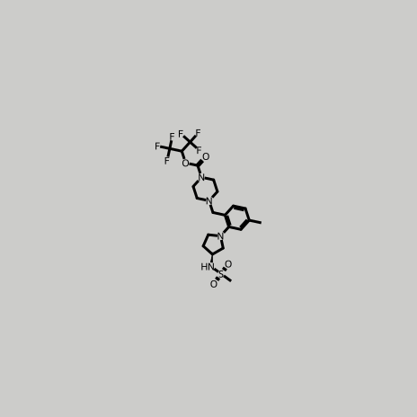 Cc1ccc(CN2CCN(C(=O)OC(C(F)(F)F)C(F)(F)F)CC2)c(N2CC[C@H](NS(C)(=O)=O)C2)c1